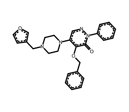 O=c1c(OCc2ccccc2)c(N2CCN(Cc3ccoc3)CC2)cnn1-c1ccccc1